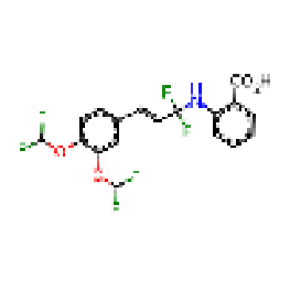 O=C(O)c1ccccc1NC(F)(F)/C=C/c1ccc(OC(F)F)c(OC(F)F)c1